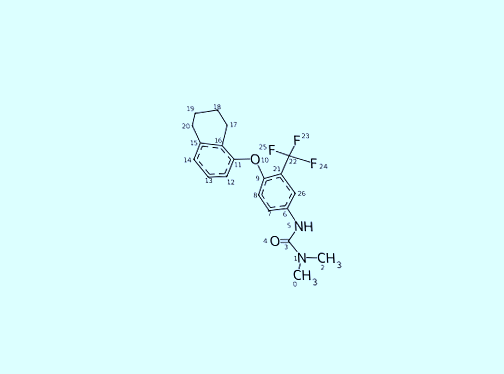 CN(C)C(=O)Nc1ccc(Oc2cccc3c2CCCC3)c(C(F)(F)F)c1